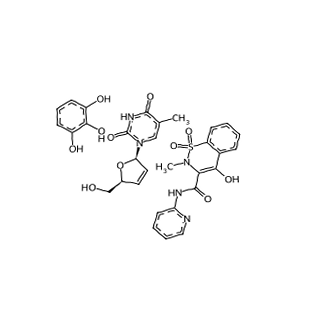 CN1C(C(=O)Nc2ccccn2)=C(O)c2ccccc2S1(=O)=O.Cc1cn([C@H]2C=C[C@@H](CO)O2)c(=O)[nH]c1=O.Oc1cccc(O)c1O